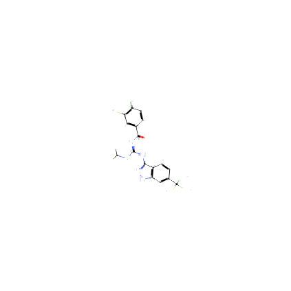 CC(C)N/C(=N/C(=O)c1ccc(Cl)c(F)c1)Nc1n[nH]c2cc(C(F)(F)F)ccc12